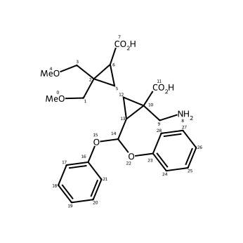 COCC1(COC)CC1C(=O)O.NCC1(C(=O)O)CC1C(Oc1ccccc1)Oc1ccccc1